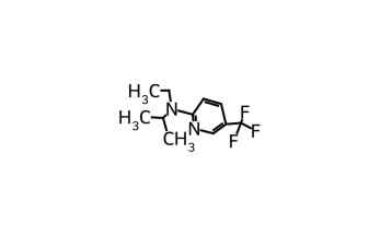 CCN(c1ccc(C(F)(F)F)cn1)C(C)C